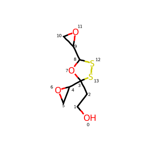 OCCC1(C2CO2)OC(C2CO2)SS1